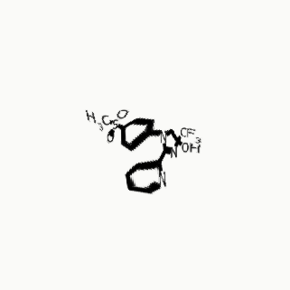 CS(=O)(=O)c1ccc(N2CC(O)(C(F)(F)F)N=C2c2ccccn2)cc1